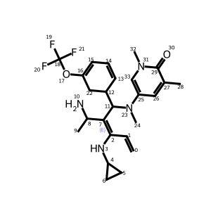 C=C/C(NC1CC1)=C(/C(C)N)C(C1C=CC=C(OC(F)(F)F)C1)N(C)c1cc(C)c(=O)n(C)c1